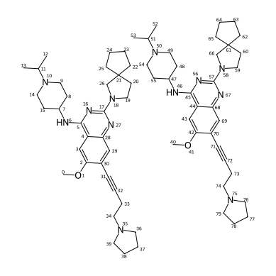 COc1cc2c(NC3CCN(C(C)C)CC3)nc(N3CCC4(CCCC4)C3)nc2cc1C#CCCN1CCCC1.COc1cc2c(NC3CCN(C(C)C)CC3)nc(N3CCC4(CCCC4)C3)nc2cc1C#CCCN1CCCC1